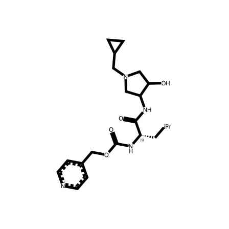 CC(C)C[C@H](NC(=O)OCc1ccncc1)C(=O)NC1CN(CC2CC2)CC1O